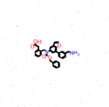 NCc1cccc(-c2cc(N(Cc3ccccc3CC(=O)O)C(=O)OCc3ccccc3)cc3ccoc23)c1